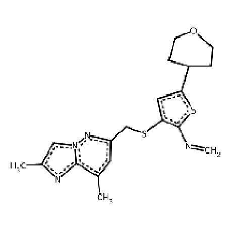 C=Nc1sc(C2CCOCC2)cc1SCc1cc(C)c2nc(C)cn2n1